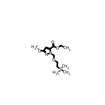 CCOC(=O)c1cc(OC)nn1COCC[Si](C)(C)C